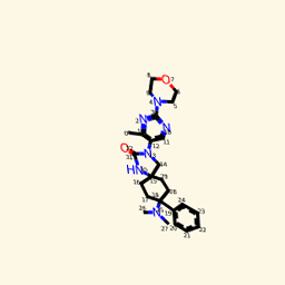 Cc1nc(N2CCOCC2)ncc1N1CC2(CCC(c3ccccc3)(N(C)C)CC2)NC1=O